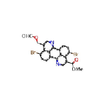 COC(=O)c1cnc2c3ccc(Br)c4c(COC=O)cnc(c5ccc(Br)c1c52)c43